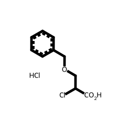 Cl.O=C(O)C(Cl)COCc1ccccc1